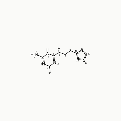 CC1N=C(N)NC(NCCc2ccsc2)=N1